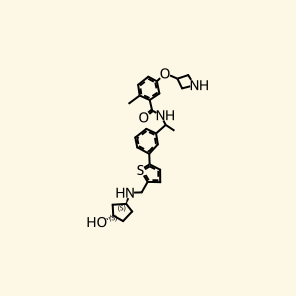 Cc1ccc(OC2CNC2)cc1C(=O)NC(C)c1cccc(-c2ccc(CN[C@H]3CC[C@H](O)C3)s2)c1